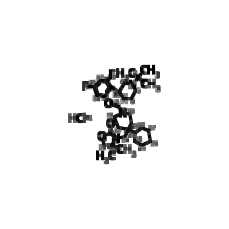 CC(C)(C)N1CC[C@H](C(=O)N2CCC(CN3C(=O)OCC3(C)C)(C3CCCCC3)CC2)[C@@H](c2ccc(F)cc2F)C1.Cl